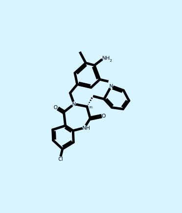 Cc1cc(CN2C(=O)c3ccc(Cl)cc3NC(=O)[C@H]2Cc2ccccn2)cc(C)c1N